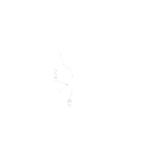 C#CCC1(N)C=CC(N)=CC1